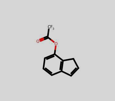 O=C(Oc1cccc2c1CC=C2)C(F)(F)F